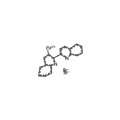 [Br-].[Br-].[Pd+2][c]1cc2ccccc2nc1-c1ccc2ccccc2n1